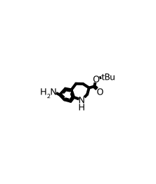 CC(C)(C)OC(=O)C1CCc2cc(N)ccc2NC1